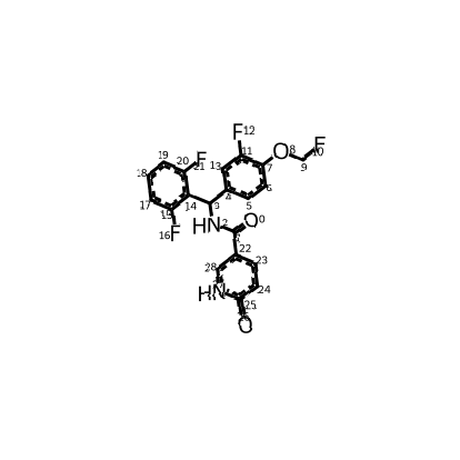 O=C(NC(c1ccc(OCF)c(F)c1)c1c(F)cccc1F)c1ccc(=O)[nH]c1